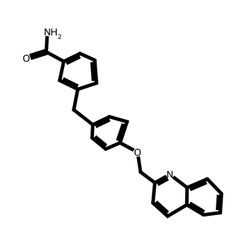 NC(=O)c1cccc(Cc2ccc(OCc3ccc4ccccc4n3)cc2)c1